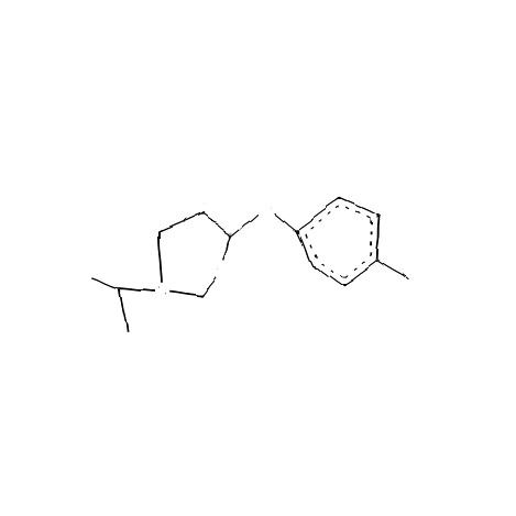 CC(C)N1CCC(Oc2ccc(Cl)cc2)CC1